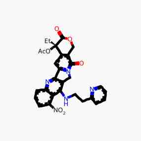 CC[C@@]1(OC(C)=O)C(=O)OCc2c1cc1n(c2=O)Cc2c-1nc1cccc([N+](=O)[O-])c1c2NCCc1ccccn1